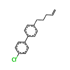 C=CCCCc1ccc(-c2ccc(Cl)cc2)cc1